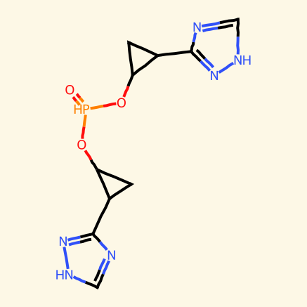 O=[PH](OC1CC1c1nc[nH]n1)OC1CC1c1nc[nH]n1